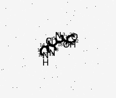 OC1(c2cncc(-c3cnc4c(c3Cl)CCCN4)c2)CCOCC1